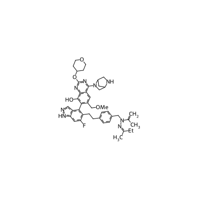 C=C(C)N(Cc1ccc(CCc2c(F)cc3[nH]ncc3c2-c2c(COC)cc3c(N4CC5CC4CN5)nc(OC4CCOCC4)nc3c2O)cc1)/N=C(/C)CC